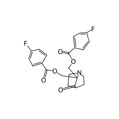 O=C(OCC1(COC(=O)c2ccc(F)cc2)C(=O)C2CCN1CC2)c1ccc(F)cc1